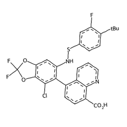 CC(C)(C)c1ccc(SNc2cc3c(c(Cl)c2-c2ccc(C(=O)O)c4ncccc24)OC(F)(F)O3)cc1F